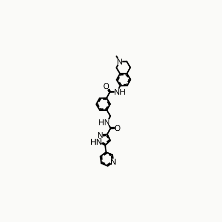 CN1CCc2ccc(NC(=O)c3cccc(CNC(=O)c4cc(-c5cccnc5)[nH]n4)c3)cc2C1